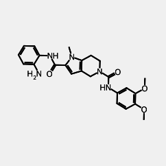 COc1ccc(NC(=O)N2CCc3c(cc(C(=O)Nc4ccccc4N)n3C)C2)cc1OC